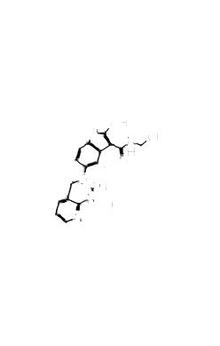 CCNC(=O)c1c(C)oc2ccc(OCc3cccnc3N(C)C)cc12